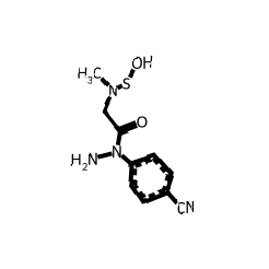 CN(CC(=O)N(N)c1ccc(C#N)cc1)SO